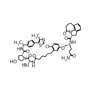 Cc1ncsc1-c1ccc([C@H](C)NC(=O)[C@@H]2C[C@@H](O)CN2C(=O)[C@@H](NC(=O)CCCCCc2cc(OC[C@H](CCC(N)=O)NC(=O)[C@@H]3Cc4cccc5c4N3C(=O)CCC5)ccc2Cl)C(C)(C)C)cc1